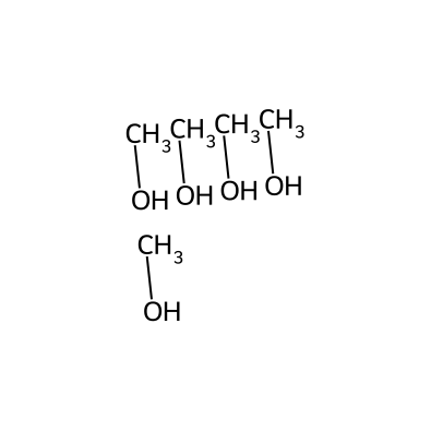 CO.CO.CO.CO.CO